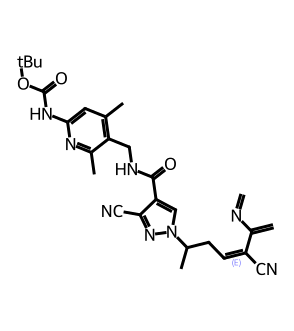 C=NC(=C)/C(C#N)=C\CC(C)n1cc(C(=O)NCc2c(C)cc(NC(=O)OC(C)(C)C)nc2C)c(C#N)n1